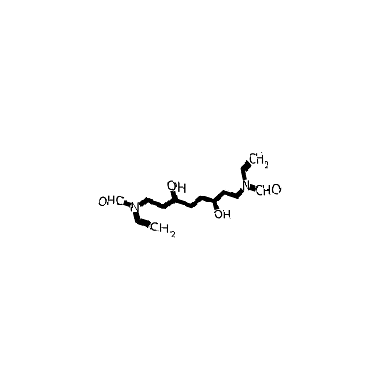 C=CN(C=O)CCC(O)CCC(O)CCN(C=C)C=O